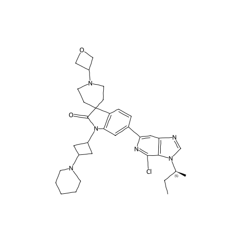 CC[C@H](C)n1cnc2cc(-c3ccc4c(c3)N(C3CC(N5CCCCC5)C3)C(=O)C43CCN(C4COC4)CC3)nc(Cl)c21